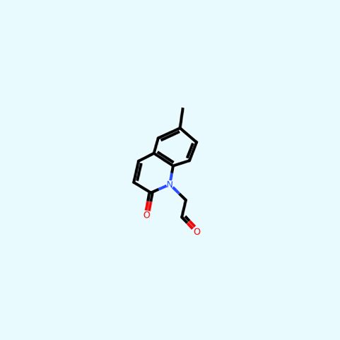 Cc1ccc2c(ccc(=O)n2CC=O)c1